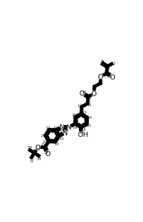 C=C(C)C(=O)OCCOC(=O)CCc1ccc(O)c(-n2n3c4ccc(C(=O)OC(C)(C)C)cc4n23)c1